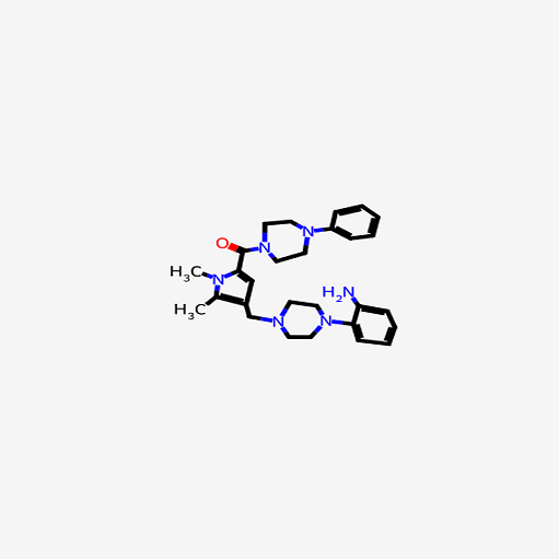 Cc1c(CN2CCN(c3ccccc3N)CC2)cc(C(=O)N2CCN(c3ccccc3)CC2)n1C